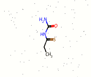 CCC(=S)NC(N)=O